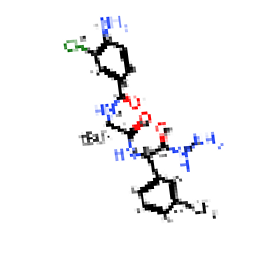 CC(C)(C)[C@H](NC(=O)c1ccc(N)c(Cl)c1)C(=O)NC(C(=O)NN)c1cccc(C(F)(F)F)c1